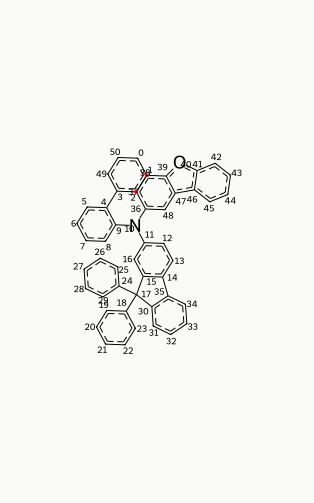 c1ccc(-c2ccccc2N(c2ccc3c(c2)C(c2ccccc2)(c2ccccc2)c2ccccc2-3)c2ccc3oc4ccccc4c3c2)cc1